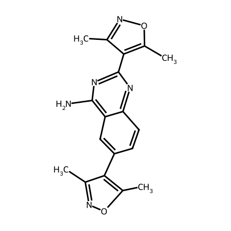 Cc1noc(C)c1-c1ccc2nc(-c3c(C)noc3C)nc(N)c2c1